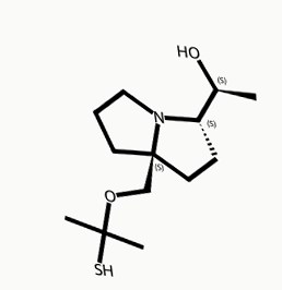 C[C@H](O)[C@@H]1CC[C@]2(COC(C)(C)S)CCCN12